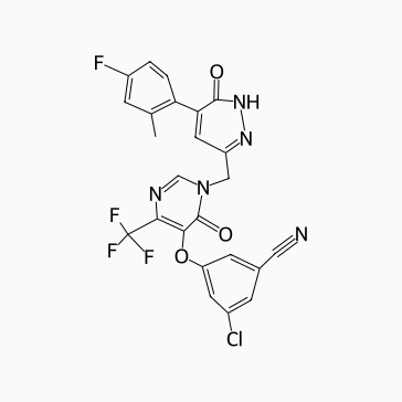 Cc1cc(F)ccc1-c1cc(Cn2cnc(C(F)(F)F)c(Oc3cc(Cl)cc(C#N)c3)c2=O)n[nH]c1=O